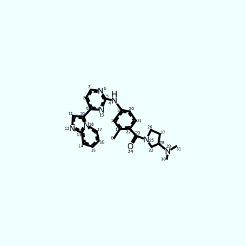 Cc1cc(Nc2nccc(-c3cnc4ccccn34)n2)ccc1C(=O)N1CCC(N(C)C)C1